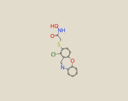 O=C(CSc1ccc2c(c1Cl)C=Nc1ccccc1O2)NO